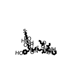 CCCC(=O)OCN(C(=O)[C@@H](NC(=O)[C@H]1CCCCN1C)C(C)CC)[C@H](CCc1nc(C(=O)N[C@@H](Cc2ccc(O)cc2)C[C@H](C)C(=O)NNC(=O)OCCSSC)cs1)C(C)C